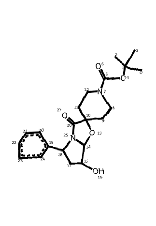 CC(C)(C)OC(=O)N1CCC2(CC1)OC1C(O)CC(c3ccccc3)N1C2=O